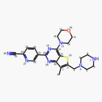 Cc1c(CN2CCNCC2)sc2c(N3CCOCC3)nc(-c3ccc(C#N)nc3)nc12